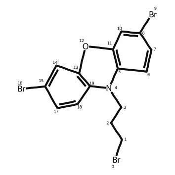 BrCCCN1c2ccc(Br)cc2Oc2cc(Br)ccc21